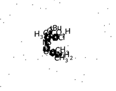 C=NN(C)c1ccc([C@H]2CN(c3nc4cc(C)c([C@H](OC(C)(C)C)C(=O)O)c(-c5ccc(Cl)cc5)c4s3)CCO2)cc1C